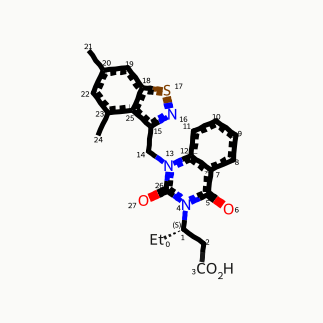 CC[C@@H](CC(=O)O)n1c(=O)c2ccccc2n(Cc2nsc3cc(C)cc(C)c23)c1=O